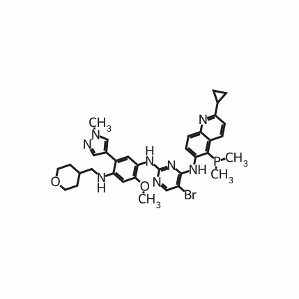 COc1cc(NCC2CCOCC2)c(-c2cnn(C)c2)cc1Nc1ncc(Br)c(Nc2ccc3nc(C4CC4)ccc3c2P(C)C)n1